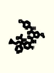 CO[C@H]1CC(C(=O)Nc2ccc(Cl)cn2)[C@@H](C(=O)Nc2cc(C(CCC3CC3)(NC(C)=O)c3ccncc3)ccc2F)C1